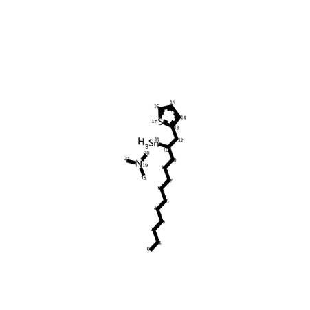 CCCCCCCCCC[CH]([SnH3])Cc1cccs1.CN(C)C